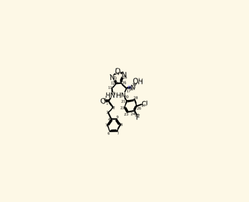 O=C(CCc1ccccc1)NCc1nonc1/C(=N\O)Nc1ccc(F)c(Cl)c1